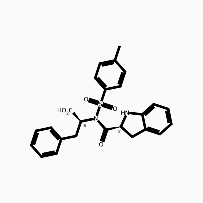 Cc1ccc(S(=O)(=O)N(C(=O)[C@@H]2Cc3ccccc3N2)[C@@H](Cc2ccccc2)C(=O)O)cc1